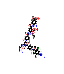 CCCOc1c(NC(=O)c2ccc(NC(=O)[C@H](CC(N)=O)NC(=O)c3ccc(NC(=O)c4c(F)c(F)c(N)c(F)c4F)cc3)cc2)ccc(C(=O)Nc2ccc(C(=O)O)cc2)c1O